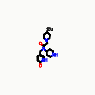 CC(C)(C)C1CCN(CC(=O)N(Cc2ccc(=O)[nH]c2)C2CCNCC2)CC1